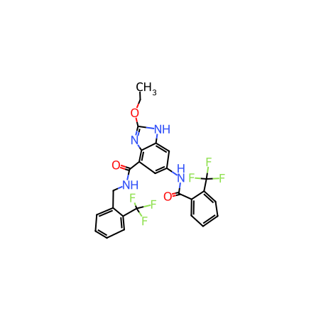 CCOc1nc2c(C(=O)NCc3ccccc3C(F)(F)F)cc(NC(=O)c3ccccc3C(F)(F)F)cc2[nH]1